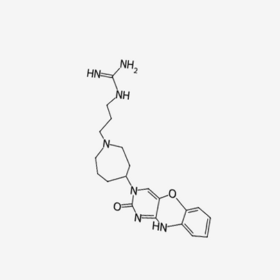 N=C(N)NCCCN1CCCC(n2cc3c(nc2=O)Nc2ccccc2O3)CC1